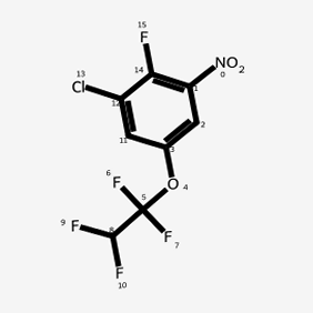 O=[N+]([O-])c1cc(OC(F)(F)C(F)F)cc(Cl)c1F